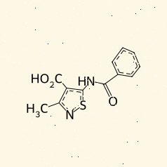 Cc1nsc(NC(=O)c2ccccc2)c1C(=O)O